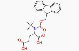 CC(C)(C)N(C(=O)OCC1c2ccccc2-c2ccccc21)C(CCC(=O)O)C(=O)O